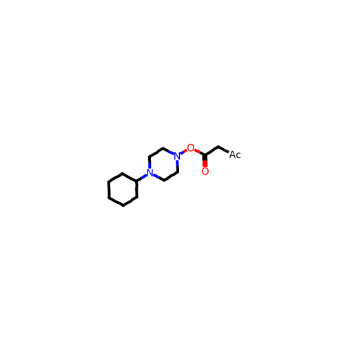 CC(=O)CC(=O)ON1CCN(C2CCCCC2)CC1